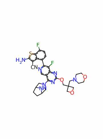 N#Cc1c(N)sc2c(F)ccc(-c3ncc4c(N5CC6CCC(C5)N6)nc(OCC5(CN6CCOCC6)COC5)nc4c3F)c12